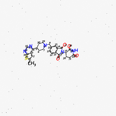 Cc1cc2c(C3CCN(Cc4ccc5c(c4)C(=O)N(C4CCC(=O)NC4=O)C5=O)CC3)ncnc2s1